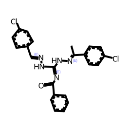 C/C(=N\N/C(=N/C(=O)c1ccccc1)N/N=C/c1ccc(Cl)cc1)c1ccc(Cl)cc1